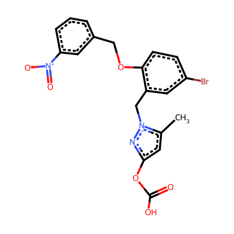 Cc1cc(OC(=O)O)nn1Cc1cc(Br)ccc1OCc1cccc([N+](=O)[O-])c1